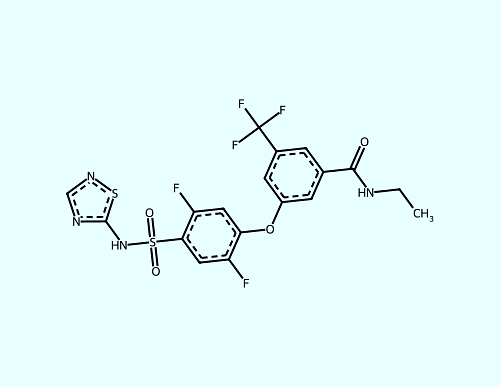 CCNC(=O)c1cc(Oc2cc(F)c(S(=O)(=O)Nc3ncns3)cc2F)cc(C(F)(F)F)c1